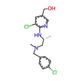 C[C@H](CN(C)Cc1ccc(Cl)cc1)Nc1ncc(CO)cc1Cl